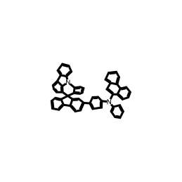 c1ccc(N(c2ccc(-c3ccc4c(c3)C3(c5ccccc5-4)c4ccccc4-n4c5ccccc5c5cccc3c54)cc2)c2cc3ccccc3c3ccccc23)cc1